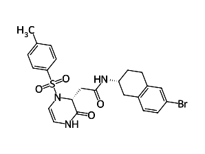 Cc1ccc(S(=O)(=O)N2C=CNC(=O)[C@H]2CC(=O)N[C@@H]2CCc3cc(Br)ccc3C2)cc1